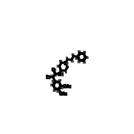 CCC(C(=O)NC1CCN(CCCc2ccccc2)CC1)c1ccc(OC(C)=O)c(OC(C)=O)c1